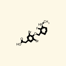 CNc1cccc(COc2c(Br)cc(CC(=O)O)cc2Br)c1F